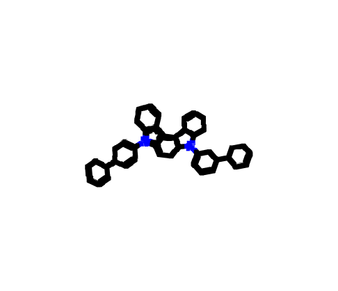 C1=CCC(C2C=CC(n3c4c(c5c3=CCC3C=5C5C=CCCC5N3C3=CC=CC(C5CC=CCC5)C3)C=CCC4)=CC2)C=C1